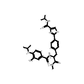 CNC(=O)C(Cc1ccc(-c2nc(C(=O)NC(C)C)cs2)cc1)NC(=O)c1ccc(OC(C)C)c(Cl)c1